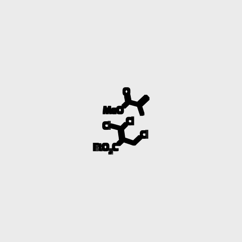 C=C(C)C(=O)OC.CCOC(=O)C(CCl)=C(Cl)Cl